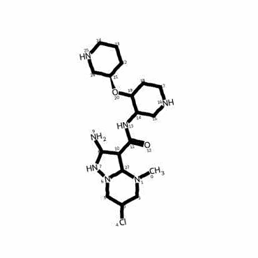 CN1CC(Cl)CN2NC(N)C(C(=O)NC3CNCCC3O[C@@H]3CCCNC3)C12